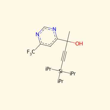 CC(C)[Si](C#CC(C)(O)c1cc(C(F)(F)F)ncn1)(C(C)C)C(C)C